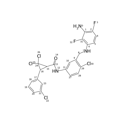 Nc1c(F)ccc(NCc2cc(NC(=O)C3C(c4cccc(Cl)c4)C3(Cl)Cl)ccc2Cl)c1F